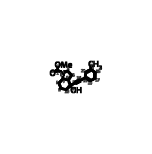 COC(=O)N1CCC2C1CCC[C@]2(O)C#Cc1cccc(C)c1